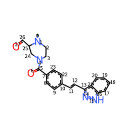 CN1CCN(C(=O)c2ccc(C=Cc3n[nH]c4ccccc34)cc2)CC1C=O